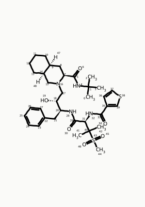 CC(C)(C)NC(=O)[C@@H]1C[C@@H]2CCCC[C@@H]2CN1C[C@@H](O)[C@H](Cc1ccccc1)NC(=O)[C@@H](NC(=O)c1ccsc1)C(C)(C)S(C)(=O)=O